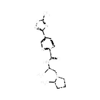 CC(CN1CCCC1C)NC(=O)c1ccc(-c2noc(C(F)(F)F)n2)cn1